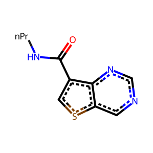 CCCNC(=O)c1csc2cncnc12